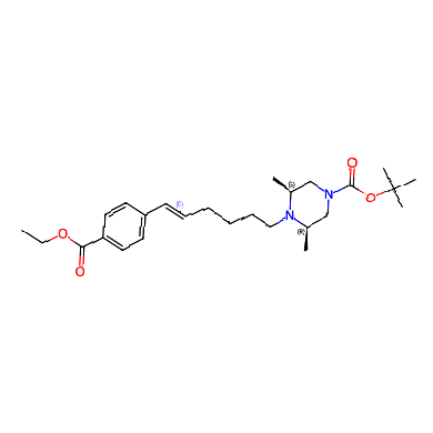 CCOC(=O)c1ccc(/C=C/CCCCN2[C@H](C)CN(C(=O)OC(C)(C)C)C[C@@H]2C)cc1